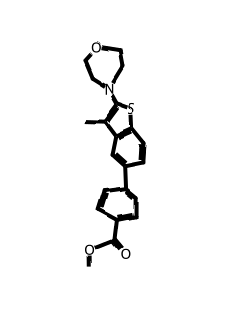 COC(=O)c1ccc(-c2ccc3sc(N4CCOCC4)c(C)c3c2)cc1